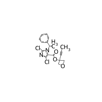 CC#CC1(OC(=O)c2c(Cl)nc(Cl)n2[C@H](C)c2ccccc2)COC1